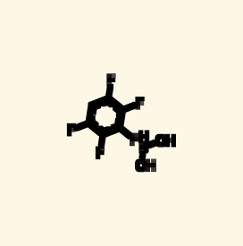 Fc1cc(F)c(F)c(F)c1F.OBO